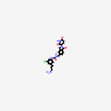 NCCCc1cc(Cl)cc(NC(=O)NCc2ccc3c(c2)CN(C2CCC(=O)NC2=O)C3=O)c1